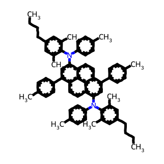 CCCCc1cc(C)c(N(c2ccc(C)cc2)c2cc(-c3ccc(C)cc3)c3ccc4c(N(c5ccc(C)cc5)c5c(C)cc(CCCC)cc5C)cc(-c5ccc(C)cc5)c5ccc2c3c54)c(C)c1